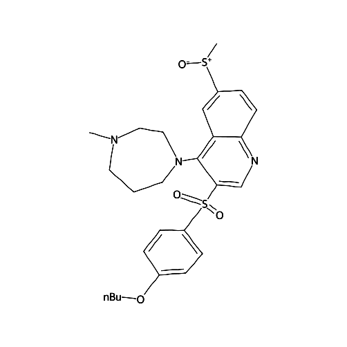 CCCCOc1ccc(S(=O)(=O)c2cnc3ccc([S+](C)[O-])cc3c2N2CCCN(C)CC2)cc1